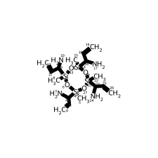 C=CC(N)[Si]1(C)O[Si](C)(C(N)C=C)O[Si](C)(C(N)C=C)O[Si](C)(C(N)C=C)O1